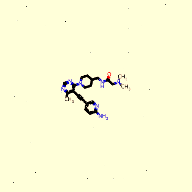 Cc1ncnc(N2CCC(CNC(=O)CN(C)C)CC2)c1C#Cc1ccc(N)nc1